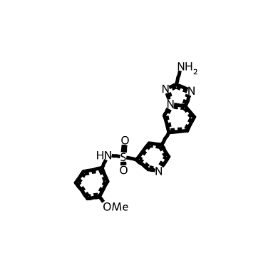 COc1cccc(NS(=O)(=O)c2cncc(-c3ccc4nc(N)nn4c3)c2)c1